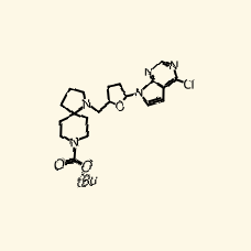 CC(C)(C)OC(=O)N1CCC2(CCCN2CC2CCC(n3ccc4c(Cl)ncnc43)O2)CC1